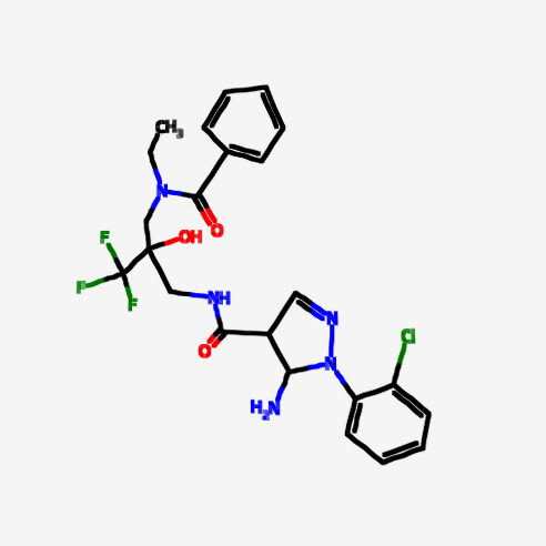 CCN(CC(O)(CNC(=O)C1C=NN(c2ccccc2Cl)C1N)C(F)(F)F)C(=O)c1ccccc1